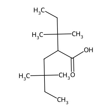 CCC(C)(C)CC(C(=O)O)C(C)(C)CC